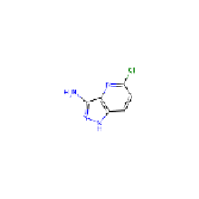 Nc1n[nH]c2ccc(Cl)nc12